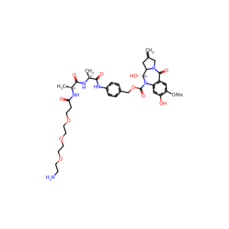 C=C1CC2[C@@H](O)N(C(=O)OCc3ccc(NC(=O)[C@H](C)NC(=O)[C@H](C)NC(=O)CCOCCOCCOCCN)cc3)c3cc(O)c(OC)cc3C(=O)N2C1